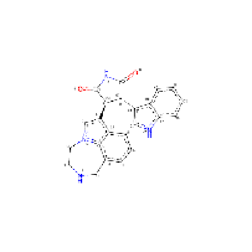 O=C1NC(=O)[C@H](c2cn3c4c(cccc24)CNCC3)[C@H]1c1c[nH]c2ccccc12